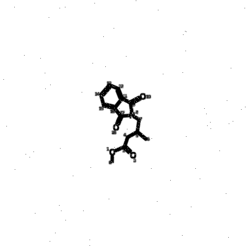 COC(=O)CC(C)CN1C(=O)c2ccccc2C1=O